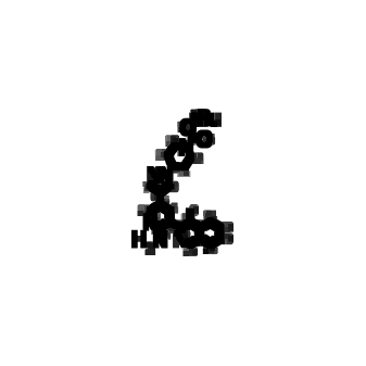 Cc1c(-c2cc(-c3cnn(C4CCN(C(=O)OC(C)(C)C)CC4)c3)cnc2N)ncc2ccccc12